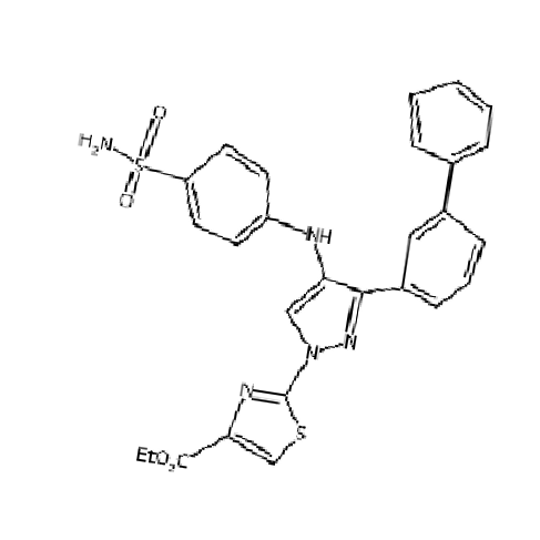 CCOC(=O)c1csc(-n2cc(Nc3ccc(S(N)(=O)=O)cc3)c(-c3cccc(-c4ccccc4)c3)n2)n1